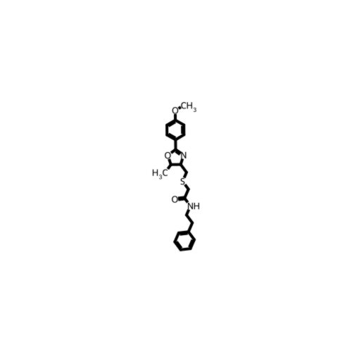 COc1ccc(C2=NC(CSCC(=O)NCCc3ccccc3)C(C)O2)cc1